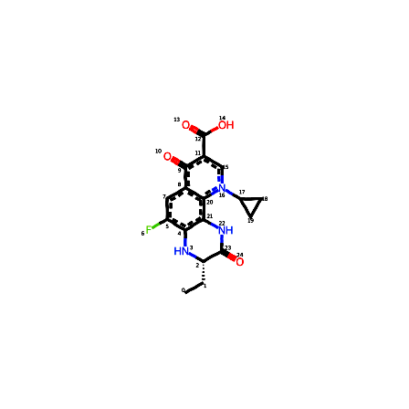 CC[C@@H]1Nc2c(F)cc3c(=O)c(C(=O)O)cn(C4CC4)c3c2NC1=O